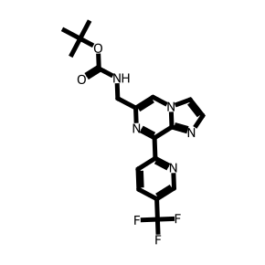 CC(C)(C)OC(=O)NCc1cn2ccnc2c(-c2ccc(C(F)(F)F)cn2)n1